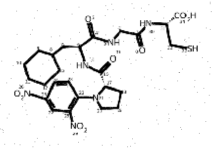 O=C(CNC(=O)[C@H](CC1CCCCC1)NC(=O)[C@@H]1CCCN1c1ccc([N+](=O)[O-])cc1[N+](=O)[O-])N[C@@H](CS)C(=O)O